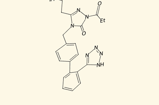 CCC(=O)n1nc(CCC(C)C)n(Cc2ccc(-c3ccccc3-c3nnn[nH]3)cc2)c1=O